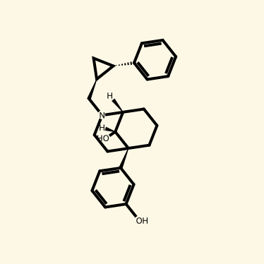 Oc1cccc([C@]23CCC[C@H]([C@H]2O)N(C[C@H]2C[C@@H]2c2ccccc2)CC3)c1